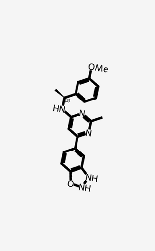 COc1cccc([C@H](C)Nc2cc(-c3ccc4c(c3)NNO4)nc(C)n2)c1